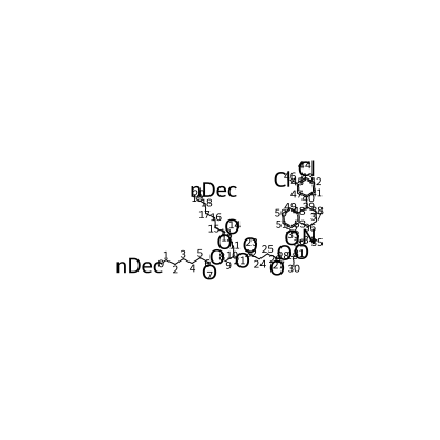 CCCCCCCCCCCCCCCC(=O)OCC(COC(=O)CCCCCCCCCCCCCCC)OC(=O)CCC(=O)OC(C)OC(=O)N(C)[C@H]1CCC(c2ccc(Cl)c(Cl)c2)c2ccccc21